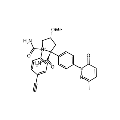 C#Cc1ccc([N+]2(C(N)=O)C[C@H](OC)C[C@]2(C(N)=O)c2ccc(-n3nc(C)ccc3=O)cc2)cc1